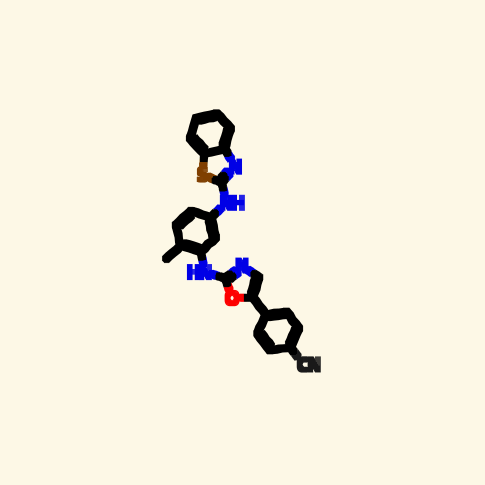 Cc1ccc(Nc2nc3ccccc3s2)cc1Nc1ncc(-c2ccc(C#N)cc2)o1